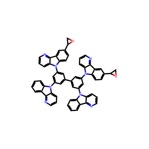 c1ccc2c(c1)c1ncccc1n2-c1cc(-c2cc(-n3c4ccccc4c4ncccc43)cc(-n3c4ccc(C5CO5)cc4c4ncccc43)c2)cc(-n2c3ccc(C4CO4)cc3c3ncccc32)c1